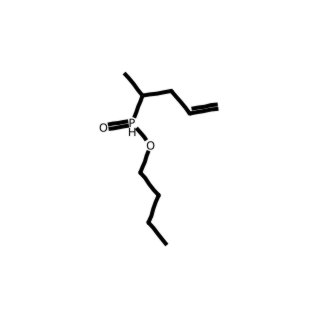 C=CCC(C)[PH](=O)OCCCC